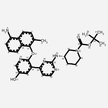 Cc1ccc2c(N)cccc2c1Oc1ncc(O)cc1-c1ccnc(N[C@H]2CCCN(C(=O)OC(C)(C)C)C2)n1